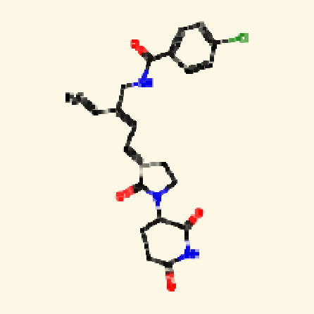 C=C/C(=C\C=C1/CCN(C2CCC(=O)NC2=O)C1=O)CNC(=O)c1ccc(Cl)cc1